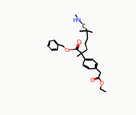 CCOC(=O)Cc1ccc(C(C)(CCCC(C)(C)CNC)C(=O)OCc2ccccc2)cc1